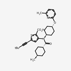 Cc1cccc(O[C@H]2CC[C@H](N(c3cc(C#CC(C)(C)C)sc3C(=O)O)C(=O)[C@H]3CC[C@H](C)CC3)CC2)n1